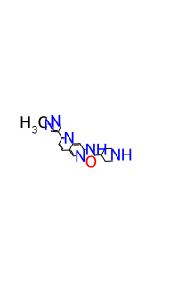 Cn1cc(-c2ccc3cnc(NC(=O)C4CCNCC4)cc3n2)cn1